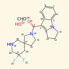 O=C(c1c2n(c3ccccc13)CCC2)N1CCC2(CNCC(F)(F)C2)C1.O=CO